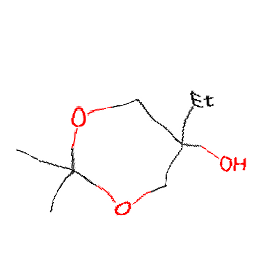 CCC1(O)COC(C)(C)OC1